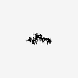 Cc1cn(-c2ccnc3[nH]c(-c4n[nH]c5ccc(-c6cncc(CN7CCC(F)(F)C7)c6)c(F)c45)nc23)cn1